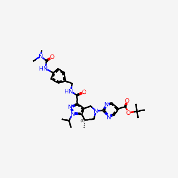 CC(C)n1nc(C(=O)NCc2ccc(NC(=O)N(C)C)cc2)c2c1[C@@H](C)CN(c1ncc(C(=O)OC(C)(C)C)cn1)C2